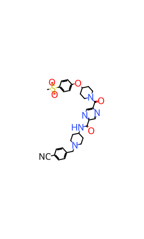 CS(=O)(=O)c1ccc(OC2CCN(C(=O)c3cnc(C(=O)NC4CCN(Cc5ccc(C#N)cc5)CC4)cn3)CC2)cc1